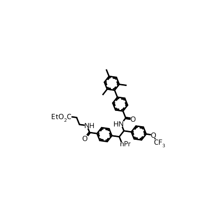 CCCC(c1ccc(C(=O)NCCC(=O)OCC)cc1)C(NC(=O)c1ccc(-c2c(C)cc(C)cc2C)cc1)c1ccc(OC(F)(F)F)cc1